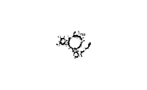 C#CCOCCN(C)[C@H]1C[C@@H](C)O[C@@H](O[C@@H]2[C@@H](C)[C@H](O[C@@H]3C[C@@](C)(OC)[C@@H](O)[C@H](C)O3)[C@@H](C)C(=O)O[C@H](CC)[C@@](C)(O)[C@H](O)[C@@H](C)N(C)C[C@H](C)C[C@@]2(C)O)[C@@H]1O